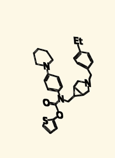 CCc1ccc(CN2CC3C(C2)C3CN(C(=O)Oc2cccs2)c2ccc(N3CCCCC3)cc2)cc1